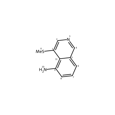 CSc1cncc2cccc(N)c12